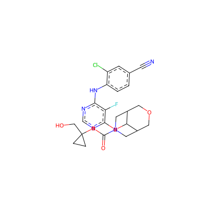 N#Cc1ccc(Nc2ncnc(OC3C4COCC3CN(C(=O)OC3(CO)CC3)C4)c2F)c(Cl)c1